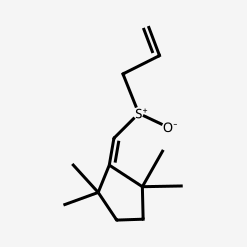 C=CC[S+]([O-])C=C1C(C)(C)CCC1(C)C